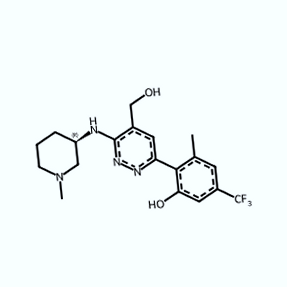 Cc1cc(C(F)(F)F)cc(O)c1-c1cc(CO)c(N[C@@H]2CCCN(C)C2)nn1